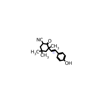 CC1(C)CC(C#N)C(=O)C(C)(/C=C/c2ccc(O)cc2)C1